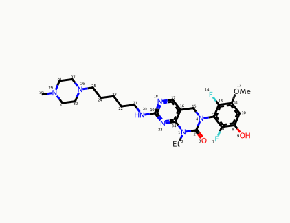 CCN1C(=O)N(c2c(F)c(O)cc(OC)c2F)Cc2cnc(NCCCCCN3CCN(C)CC3)nc21